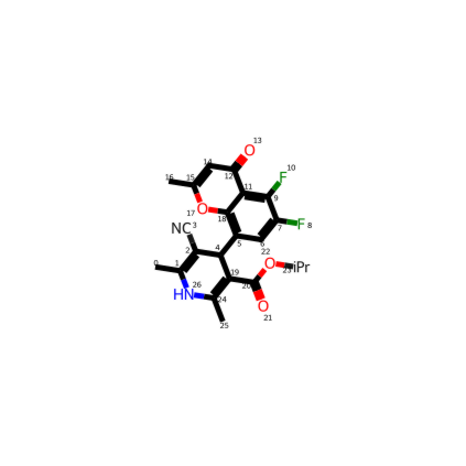 CC1=C(C#N)C(c2cc(F)c(F)c3c(=O)cc(C)oc23)C(C(=O)OC(C)C)=C(C)N1